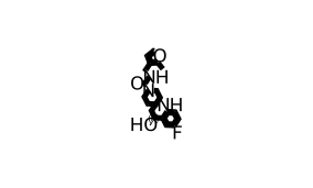 Cc1occc1CNC(=O)N1CCC2(CC1)C[C@@H](O)c1cc(F)ccc1N2